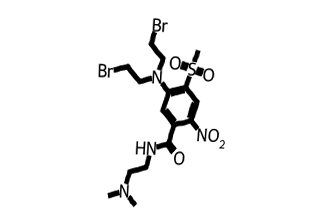 CN(C)CCNC(=O)c1cc(N(CCBr)CCBr)c(S(C)(=O)=O)cc1[N+](=O)[O-]